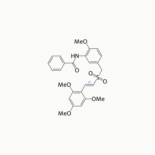 COc1cc(OC)c(/C=C/S(=O)(=O)Cc2ccc(OC)c(NC(=O)c3ccccc3)c2)c(OC)c1